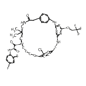 CC1(C)CNC(=O)c2ccc(cc2)Nc2nc(nc(OCC(F)(F)F)n2)NCc2ccc(c(Cl)c2)OCCCN(C(=O)C(=O)Nc2ccc(F)cc2F)C1